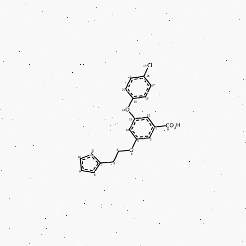 O=C(O)c1cc(OCCc2cccs2)cc(Oc2ccc(Cl)cc2)c1